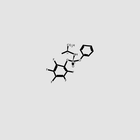 C[C@H](N[P@](=O)(Oc1ccccc1)Oc1c(F)c(F)c(F)c(F)c1F)C(=O)O